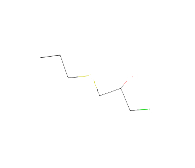 CCCSCC(O)CCl